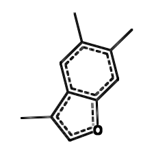 Cc1cc2occ(C)c2cc1C